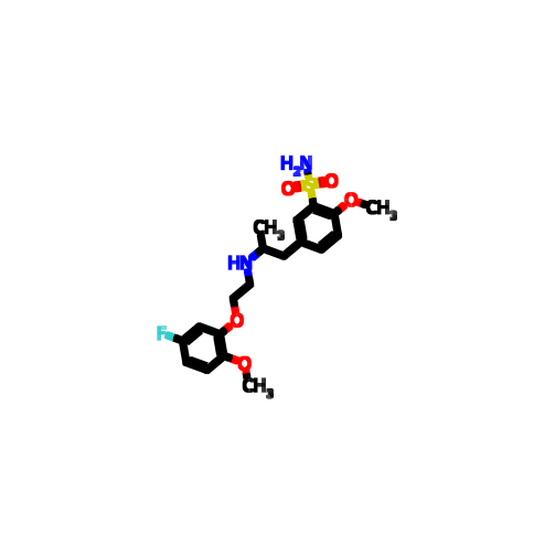 COc1ccc(F)cc1OCCNC(C)Cc1ccc(OC)c(S(N)(=O)=O)c1